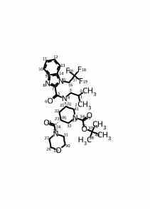 CC(C)CN(C(=O)c1nc2ccccc2n1CC(F)(F)F)[C@H]1C[C@@H](C(=O)N2CCOCC2)CN(C(=O)OC(C)(C)C)C1